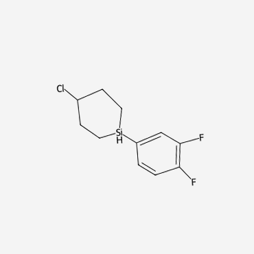 Fc1ccc([SiH]2CCC(Cl)CC2)cc1F